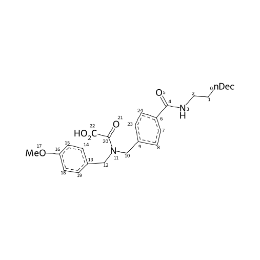 CCCCCCCCCCCCNC(=O)c1ccc(CN(Cc2ccc(OC)cc2)C(=O)C(=O)O)cc1